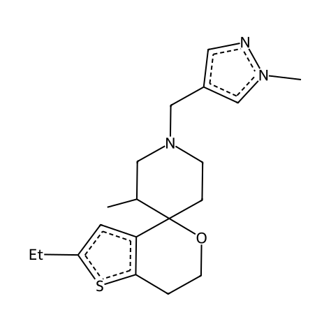 CCc1cc2c(s1)CCOC21CCN(Cc2cnn(C)c2)CC1C